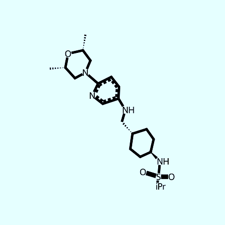 CC(C)S(=O)(=O)N[C@H]1CC[C@H](CNc2ccc(N3C[C@@H](C)O[C@@H](C)C3)nc2)CC1